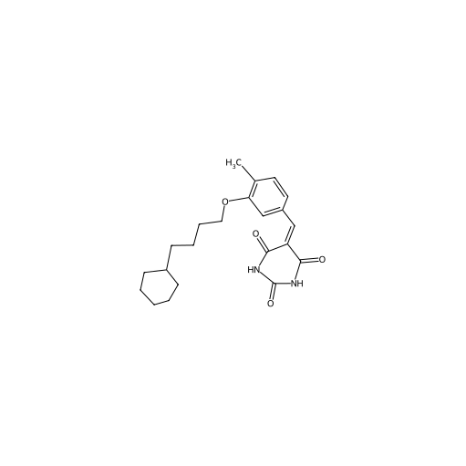 Cc1ccc(C=C2C(=O)NC(=O)NC2=O)cc1OCCCCC1CCCCC1